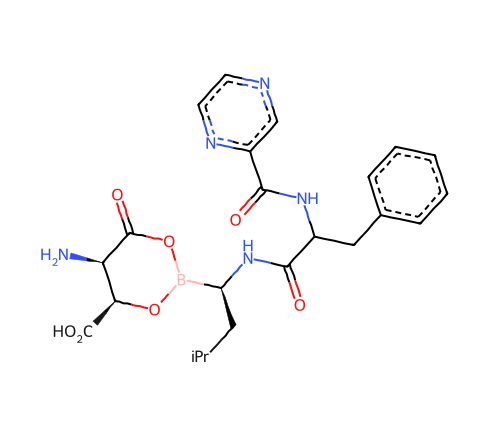 CC(C)C[C@H](NC(=O)C(Cc1ccccc1)NC(=O)c1cnccn1)B1OC(=O)[C@H](N)[C@H](C(=O)O)O1